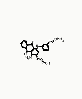 NOOSc1cccc(Nc2cc(SOOO)c(N)c3c2C(=O)c2ccccc2C3=O)c1